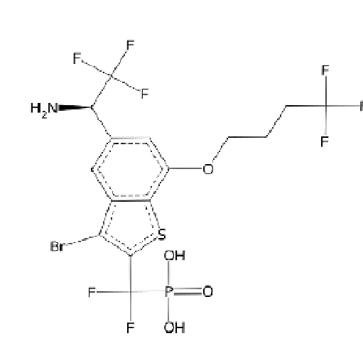 N[C@H](c1cc(OCCCC(F)(F)F)c2sc(C(F)(F)P(=O)(O)O)c(Br)c2c1)C(F)(F)F